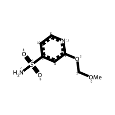 COCOc1cc(S(N)(=O)=O)ccn1